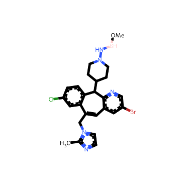 COBNN1CCC(C2c3ccc(Cl)cc3C(Cn3ccnc3C)=Cc3cc(Br)cnc32)CC1